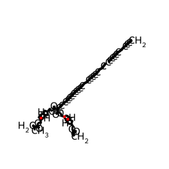 C=C=C=C=C=C=C=C=C=C=C=C=C=C=C=C=C=C=C=C=C=C=C=C=C=C=C=C=C=C=C=C=C=C=C=C(C(=O)OCC1C[C@@H]2C3CC(CC3COC(=O)C(=C)C)[C@@H]2C1)C(=O)OCC1CC2CC1[C@H]1CC(COC(=O)C=C)C[C@@H]21